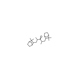 CC(CC1C2CCC(C2)C1(C)C)C(=O)C(C)CC1C2CCC(C2)C1(C)C